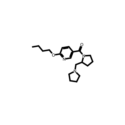 CCCCOc1ccc(C(=O)N2CCCC2CN2CCCC2)cn1